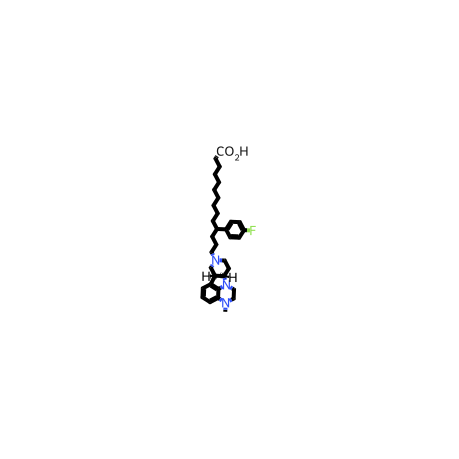 CN1CCN2c3c(cccc31)[C@@H]1CN(CCCC(CCCCCCCCCC(=O)O)c3ccc(F)cc3)CC[C@@H]12